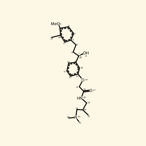 COc1ccc(CC[C@@H](O)c2cccc(OCC(=O)NCC(C)CN(C)C)c2)cc1C